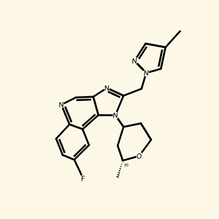 Cc1cnn(Cc2nc3cnc4ccc(F)cc4c3n2C2CCO[C@H](C)C2)c1